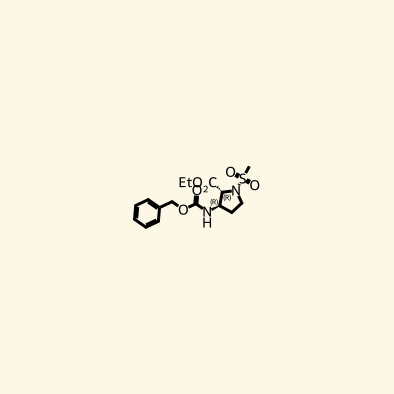 CCOC(=O)[C@H]1[C@H](NC(=O)OCc2ccccc2)CCN1S(C)(=O)=O